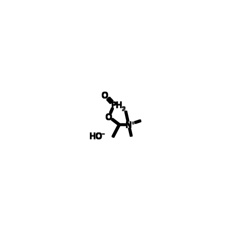 CC(O[PH2]=O)[N+](C)(C)C.[OH-]